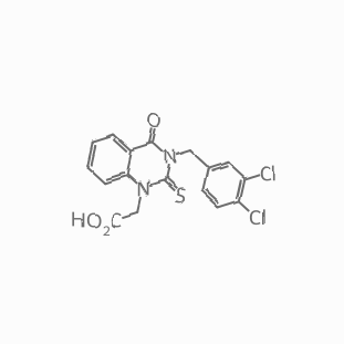 O=C(O)Cn1c(=S)n(Cc2ccc(Cl)c(Cl)c2)c(=O)c2ccccc21